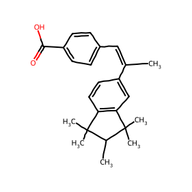 C/C(=C/c1ccc(C(=O)O)cc1)c1ccc2c(c1)C(C)(C)C(C)C2(C)C